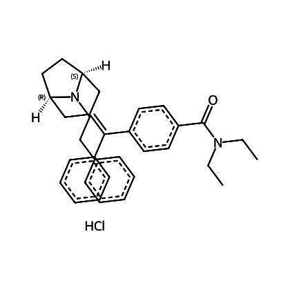 CCN(CC)C(=O)c1ccc(C(=C2C[C@H]3CC[C@@H](C2)N3CCc2ccccc2)c2ccccc2)cc1.Cl